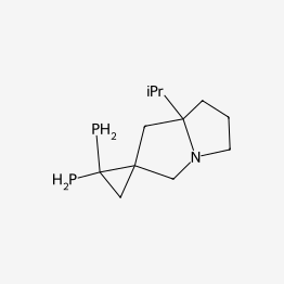 CC(C)C12CCCN1CC1(C2)CC1(P)P